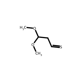 COC(CC=S)OC